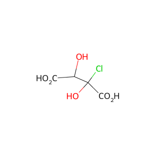 O=C(O)C(O)C(O)(Cl)C(=O)O